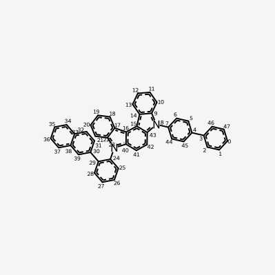 c1ccc(-c2ccc(-n3c4ccccc4c4c5c6ccccc6n(-c6ccccc6-c6ccc7ccccc7c6)c5ccc43)cc2)cc1